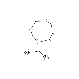 CC(/C1=C/CCCCCC1)[N+](=O)[O-]